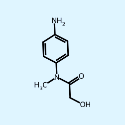 CN(C(=O)CO)c1ccc(N)cc1